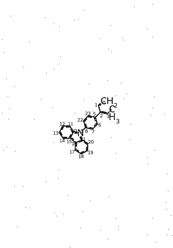 C=C/C(=C\C)c1ccc(-n2c3ccccc3c3ccccc32)cc1